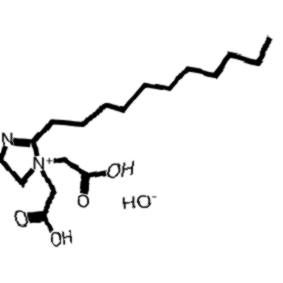 CCCCCCCCCCCC1=NCC[N+]1(CC(=O)O)CC(=O)O.[OH-]